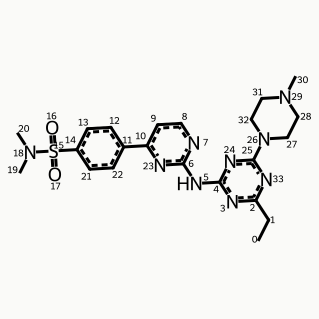 CCc1nc(Nc2nccc(-c3ccc(S(=O)(=O)N(C)C)cc3)n2)nc(N2CCN(C)CC2)n1